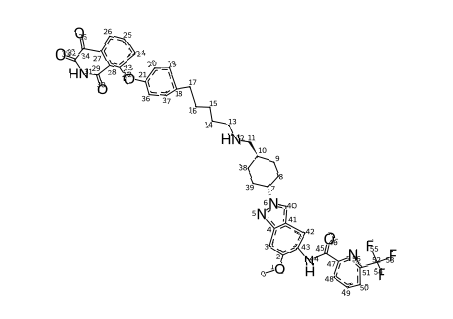 COc1cc2nn([C@H]3CC[C@H](CNCCCCCc4ccc(Oc5cccc6c5C(=O)NC(=O)C6=O)cc4)CC3)cc2cc1NC(=O)c1cccc(C(F)(F)F)n1